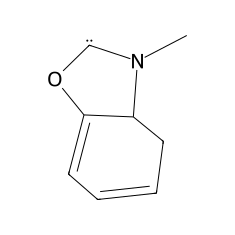 CN1[C]OC2=CC=CCC21